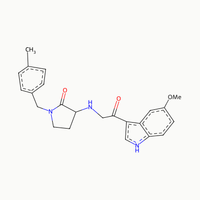 COc1ccc2[nH]cc(C(=O)CNC3CCN(Cc4ccc(C)cc4)C3=O)c2c1